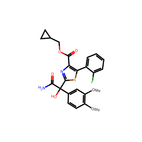 COc1ccc(C(O)(C(N)=O)c2nc(C(=O)OCC3CC3)c(-c3ccccc3F)s2)cc1OC